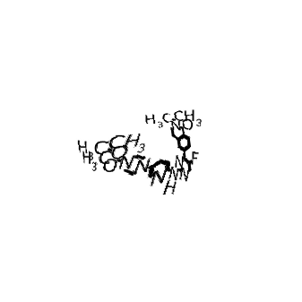 CC(C)N1CCc2cc(-c3nc(Nc4ccc(N5CCN(C(=O)OC(C)(C)C)CC5)cn4)ncc3F)ccc2C1=O